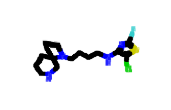 Fc1nc(NCCCCN2CCC23CCCNC3)c(Cl)s1